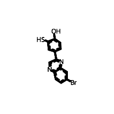 Oc1ccc(-c2cnc3ccc(Br)cc3n2)cc1S